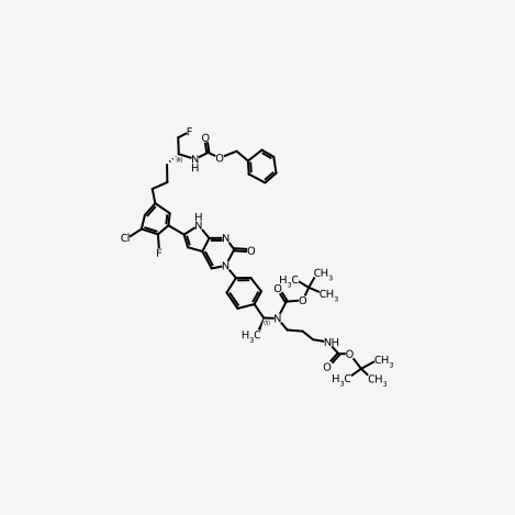 C[C@@H](c1ccc(-n2cc3cc(-c4cc(CCC[C@H](CF)NC(=O)OCc5ccccc5)cc(Cl)c4F)[nH]c3nc2=O)cc1)N(CCCNC(=O)OC(C)(C)C)C(=O)OC(C)(C)C